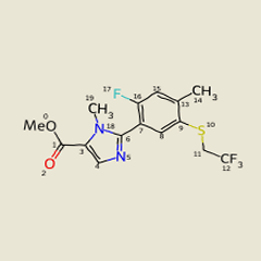 COC(=O)c1cnc(-c2cc(SCC(F)(F)F)c(C)cc2F)n1C